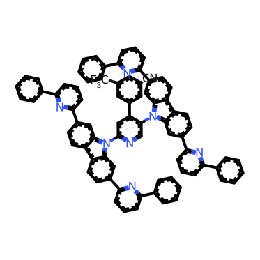 N#Cc1cc(-c2cc(-n3c4cc(-c5cccc(-c6ccccc6)n5)ccc4c4ccc(-c5cccc(-c6ccccc6)n5)cc43)ncc2-n2c3cc(-c4cccc(-c5ccccc5)n4)ccc3c3ccc(-c4cccc(-c5ccccc5)n4)cc32)cc(C(F)(F)F)c1